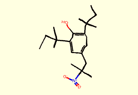 CCC(C)(C)c1cc(CC(C)(C)[N+](=O)[O-])cc(C(C)(C)CC)c1O